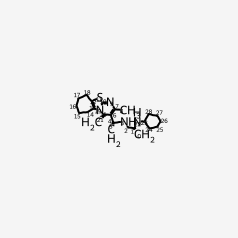 C=C(CNC(=C)C1=C(C)N=C2SC3=C(CCCCC3)N2C1=C)NC1CCCCC1